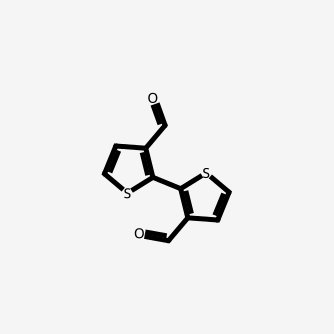 O=Cc1ccsc1-c1sccc1C=O